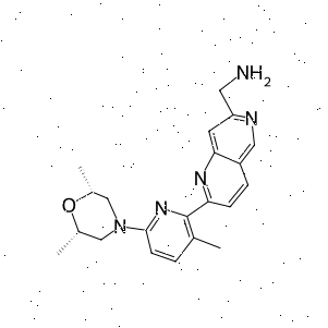 Cc1ccc(N2C[C@@H](C)O[C@@H](C)C2)nc1-c1ccc2cnc(CN)cc2n1